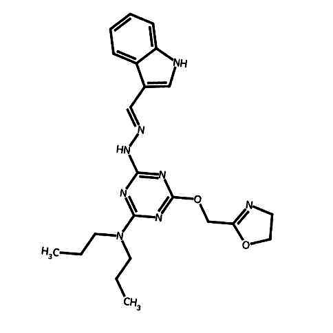 CCCN(CCC)c1nc(N/N=C/c2c[nH]c3ccccc23)nc(OCC2=NCCO2)n1